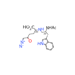 CC(=O)N[C@H](CN[C@@H](CCC(=O)C=[N+]=[N-])C(=O)O)Cc1c[nH]c2ccccc12